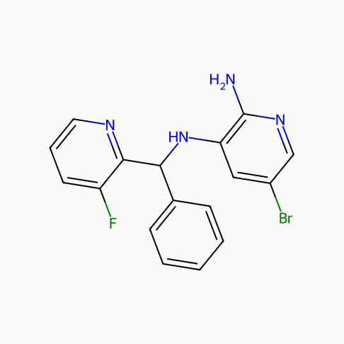 Nc1ncc(Br)cc1NC(c1ccccc1)c1ncccc1F